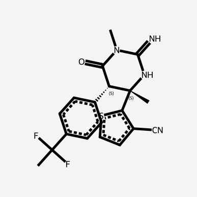 CN1C(=N)N[C@](C)(c2sccc2C#N)[C@H](c2ccc(C(C)(F)F)cc2)C1=O